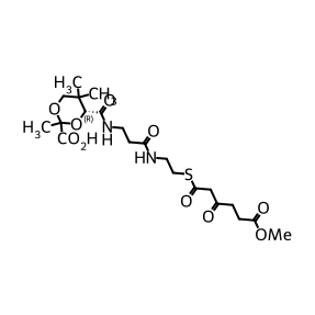 COC(=O)CCC(=O)CC(=O)SCCNC(=O)CCNC(=O)[C@@H]1OC(C)(C(=O)O)OCC1(C)C